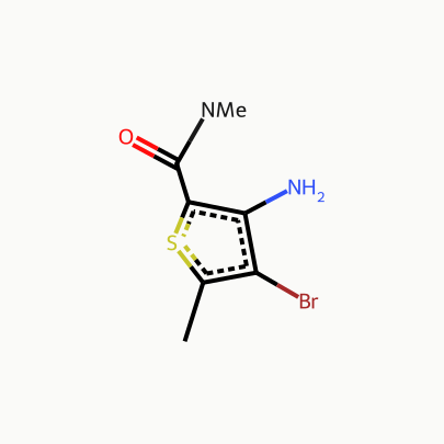 CNC(=O)c1sc(C)c(Br)c1N